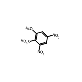 CC(=O)Oc1cc([N+](=O)[O-])cc([N+](=O)[O-])c1S(=O)(=O)O